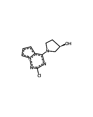 O[C@@H]1CCN(c2nc(Cl)nn3cccc23)C1